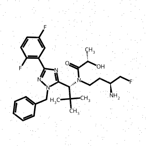 C[C@H](O)C(=O)N(CC[C@H](N)CF)[C@@H](c1nc(-c2cc(F)ccc2F)nn1Cc1ccccc1)C(C)(C)C